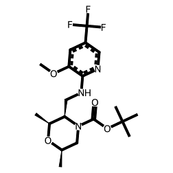 COc1cc(C(F)(F)F)cnc1NC[C@@H]1[C@H](C)O[C@H](C)CN1C(=O)OC(C)(C)C